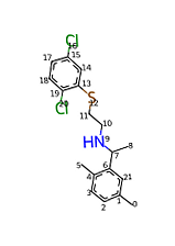 Cc1ccc(C)c(C(C)NCCSc2cc(Cl)ccc2Cl)c1